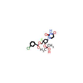 CC(C)(O)O[C@H]1C[C@H](n2ccc(=O)[nH]c2=O)C[C@]1(F)COC(=O)c1cccc(Cl)c1